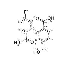 CC(=O)c1ccc(F)cc1-c1cc(CO)ccc1C(=O)O